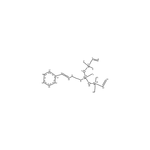 C=C[Si](C)(C)O[Si](C)(CCC=Cc1ccccc1)O[Si](C)(C)C=C